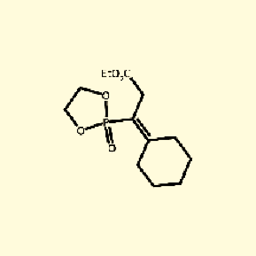 CCOC(=O)CC(=C1CCCCC1)P1(=O)OCCO1